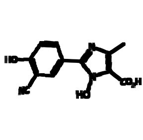 Cc1nc(-c2ccc(O)c(C#N)c2)n(O)c1C(=O)O